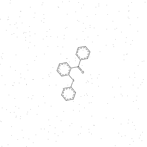 O=C(c1ccccc1)c1ccccc1Sc1[c]cccc1